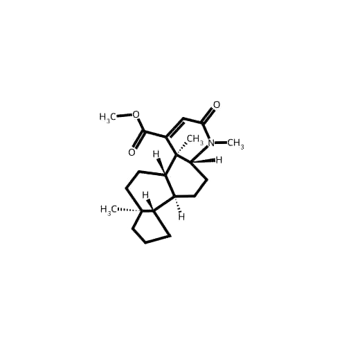 COC(=O)C1=CC(=O)N(C)[C@@H]2CC[C@H]3[C@@H]4CCC[C@@]4(C)CC[C@@H]3[C@@]12C